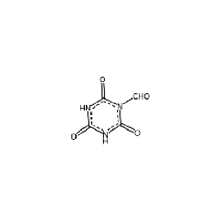 O=Cn1c(=O)[nH]c(=O)[nH]c1=O